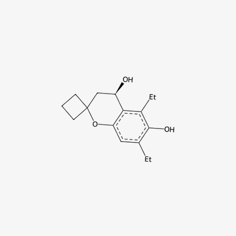 CCc1cc2c(c(CC)c1O)[C@H](O)CC1(CCC1)O2